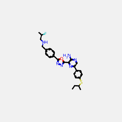 CCC(C)Sc1ccc(-c2cnc(N)c(-c3nnc(-c4ccc(CNCC(C)F)cc4)o3)n2)cc1